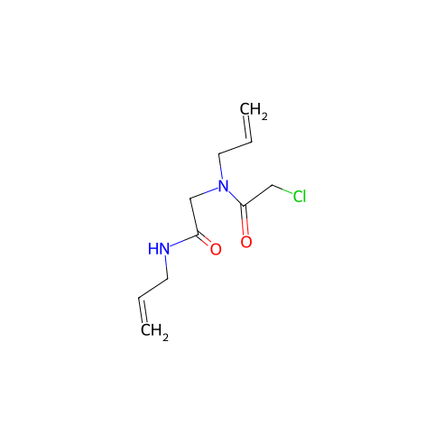 C=CCNC(=O)CN(CC=C)C(=O)CCl